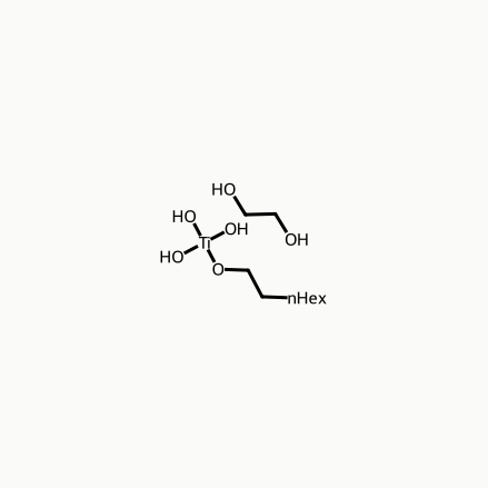 CCCCCCCC[O][Ti]([OH])([OH])[OH].OCCO